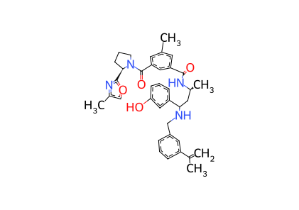 C=C(C)c1cccc(CNC(C[C@H](C)NC(=O)c2cc(C)cc(C(=O)N3CCC[C@@H]3c3nc(C)co3)c2)c2cccc(O)c2)c1